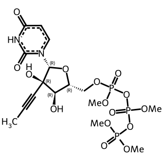 CC#C[C@@]1(O)[C@H](O)[C@@H](COP(=O)(OC)OP(=O)(OC)OP(=O)(OC)OC)O[C@H]1n1ccc(=O)[nH]c1=O